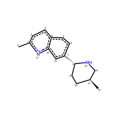 Cc1ccc2ccc([C@H]3CC[C@H](C)CN3)cc2n1